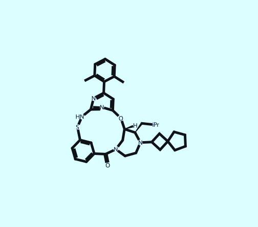 Cc1cccc(C)c1-c1cc2nc(n1)NSc1cccc(c1)C(=O)N1CCN(C3CC4(CCCC4)C3)[C@H](CC(C)C)[C@H](C1)O2